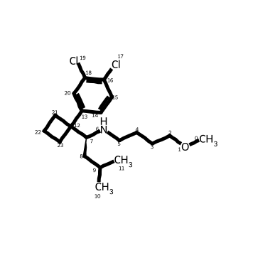 COCCCCN[C@@H](CC(C)C)C1(c2ccc(Cl)c(Cl)c2)CCC1